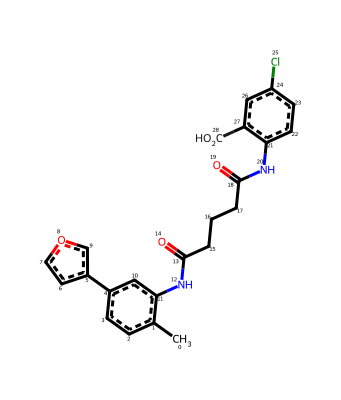 Cc1ccc(-c2ccoc2)cc1NC(=O)CCCC(=O)Nc1ccc(Cl)cc1C(=O)O